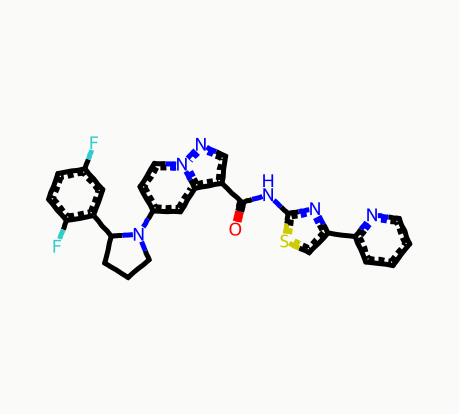 O=C(Nc1nc(-c2ccccn2)cs1)c1cnn2ccc(N3CCCC3c3cc(F)ccc3F)cc12